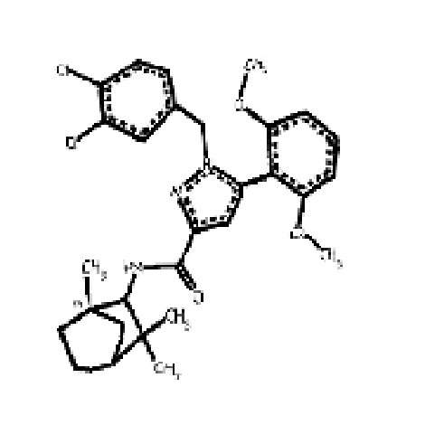 COc1cccc(OC)c1-c1cc(C(=O)NC2C(C)(C)C3CC[C@@]2(C)C3)nn1Cc1ccc(Cl)c(Cl)c1